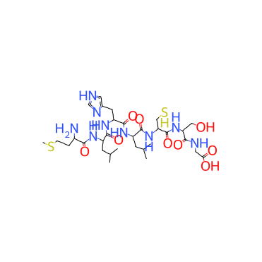 CSCCC(N)C(=O)NC(CC(C)C)C(=O)NC(Cc1c[nH]cn1)C(=O)NC(CC(C)C)C(=O)NC(CS)C(=O)NC(CO)C(=O)NCC(=O)O